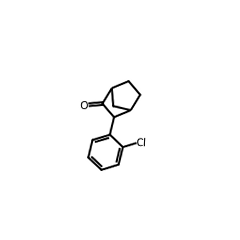 O=C1C2CCC(C2)C1c1ccccc1Cl